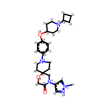 Cn1cc(N2CC3(CCN(c4ccc(OC5CCN(C6CCC6)CC5)cc4)CC3)OCC2=O)cn1